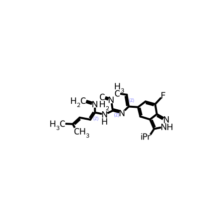 C=N/C(=C\C=C(C)C)N/C(N=C)=N/C(=C\C)c1cc(F)c2n[nH]c(C(C)C)c2c1